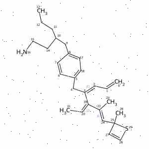 C=C\C=C(Cc1ccc(CC(CCC)CCN)cc1)/C(=C\C)C(/C)=C/C1(C)C=CS1